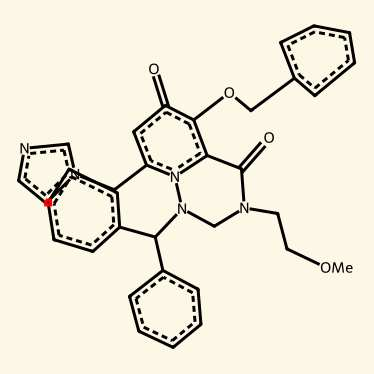 COCCN1CN(C(c2ccccc2)c2ccccc2)n2c(Cn3ccnc3)cc(=O)c(OCc3ccccc3)c2C1=O